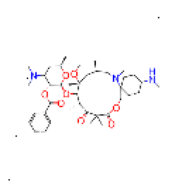 CNC1CCC2(CC1)COC(=O)C(C)(C)C(=O)[C@H](C)[C@@H](O[C@@H]1O[C@H](C)C[C@H](N(C)C)[C@H]1OC(=O)c1ccccc1)[C@](C)(OC)C[C@@H](C)CN2C